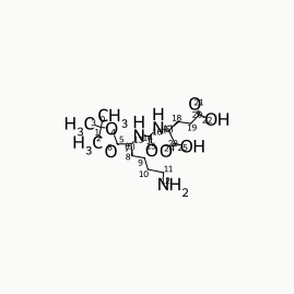 CC(C)(C)OC(=O)[C@H](CCCCN)NC(=O)N[C@@H](CCC(=O)O)C(=O)O